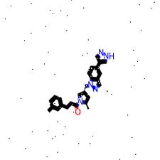 Cc1cccc(CCC(=O)N2C[C@H](Cn3ncc4cc(-c5cn[nH]c5)ccc43)C[C@H]2C)c1